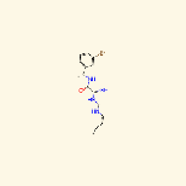 CC/C=C\NCNC(=N)C(=O)N[C@H](C)c1cccc(Br)c1